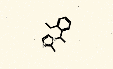 CCc1ccccc1C(C)n1ccnc1C